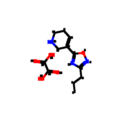 CCCc1noc(C2=CCCNC2)n1.O=C(O)C(=O)O